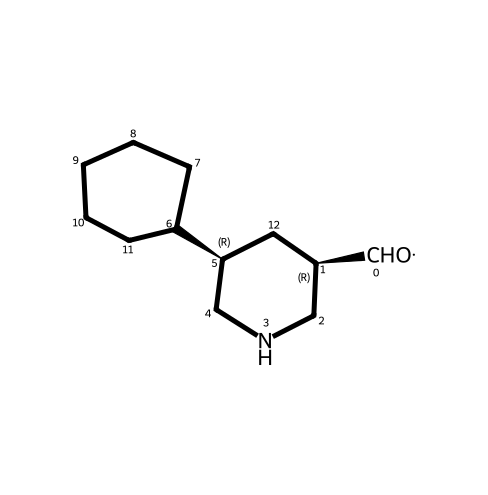 O=[C][C@H]1CNC[C@@H](C2CCCCC2)C1